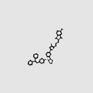 Cc1cc(-c2ccc3c(c2)C2CCCC2N3c2ccc(C=C(c3ccccc3)c3ccccc3)cc2)sc1/C=C/C=C1\C(=O)c2ccc(C(=O)O)cc2C1=O